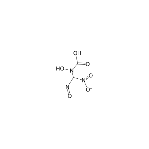 O=NC(N(O)C(=O)O)[N+](=O)[O-]